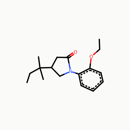 CCOc1ccccc1N1CC(C(C)(C)CC)CC1=O